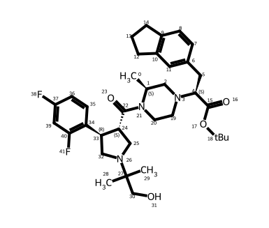 C[C@H]1CN([C@@H](Cc2ccc3c(c2)CCC3)C(=O)OC(C)(C)C)CCN1C(=O)[C@@H]1CN(C(C)(C)CO)C[C@H]1c1ccc(F)cc1F